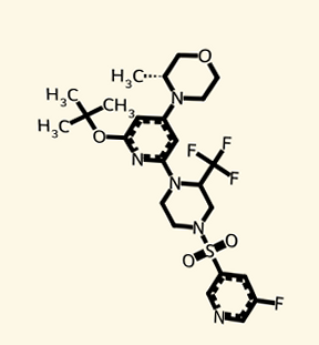 C[C@@H]1COCCN1c1cc(OC(C)(C)C)nc(N2CCN(S(=O)(=O)c3cncc(F)c3)CC2C(F)(F)F)c1